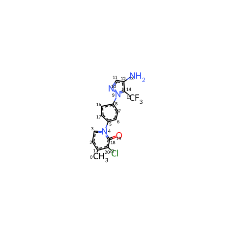 Cc1ccn(-c2ccc(-n3ncc(N)c3C(F)(F)F)cc2)c(=O)c1Cl